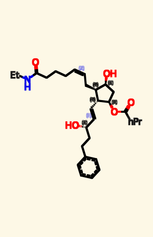 CCCC(=O)O[C@@H]1C[C@H](O)[C@H](C/C=C\CCCC(=O)NCC)[C@H]1/C=C/[C@@H](O)CCc1ccccc1